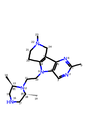 Cc1ncc2c(n1)c1c(n2CCN2[C@H](C)CNC[C@H]2C)CCN(C)C1